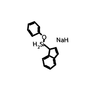 C1=CC([SiH2]Oc2ccccc2)c2ccccc21.[NaH]